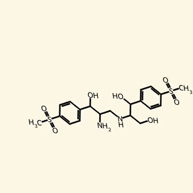 CS(=O)(=O)c1ccc(C(O)C(N)CNC(CO)C(O)c2ccc(S(C)(=O)=O)cc2)cc1